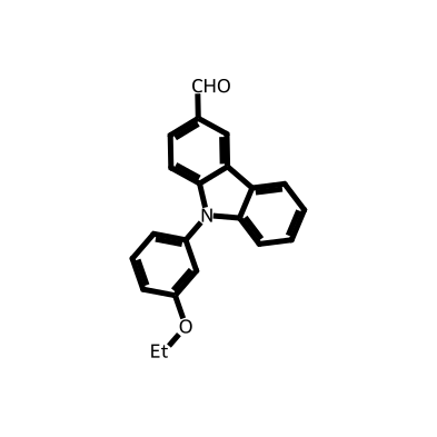 CCOc1cccc(-n2c3ccccc3c3cc(C=O)ccc32)c1